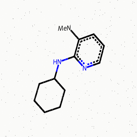 CNc1cccnc1NC1CCCCC1